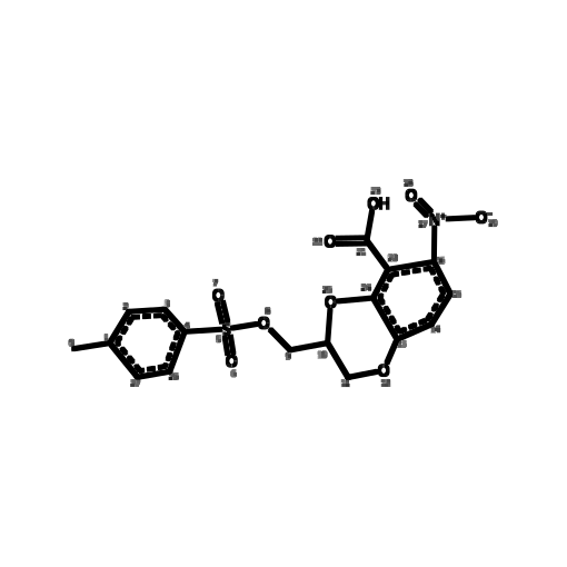 Cc1ccc(S(=O)(=O)OCC2COc3ccc([N+](=O)[O-])c(C(=O)O)c3O2)cc1